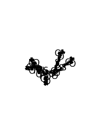 CC(C)C(=O)OCCSSCCOP(=O)(OCCSSCCOC(=O)C(C)C)OC[C@H]1S[C@@H](n2ccc(N(C(=O)OC(C)(C)C)C(=O)OC(C)(C)C)nc2=O)[C@@H](F)[C@@H]1OC(=O)OC(C)(C)C